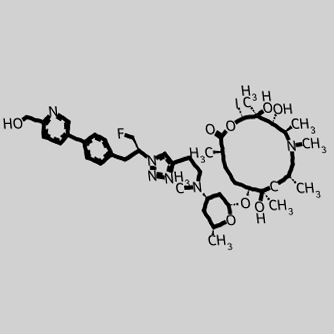 C[C@H]1CN(C)[C@H](C)[C@@H](O)[C@](C)(O)[C@@H](I)OC(=O)[C@H](C)CC[C@@H](O[C@H]2C[C@@H](N(C)CCc3cn([C@H](CF)Cc4ccc(-c5ccc(CO)nc5)cc4)nn3)C[C@@H](C)O2)[C@](C)(O)C1